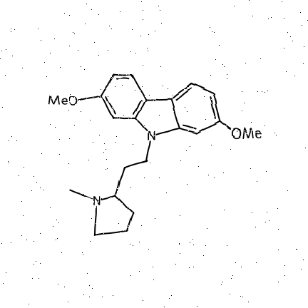 COc1ccc2c3ccc(OC)cc3n(CCC3CCCN3C)c2c1